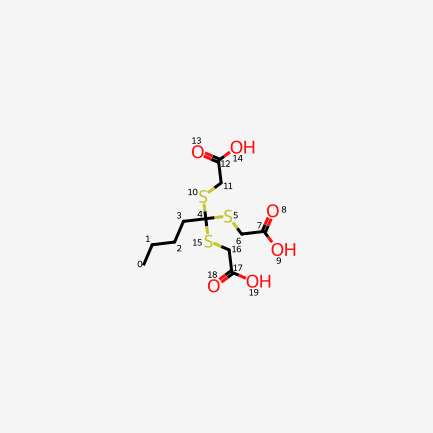 CCCCC(SCC(=O)O)(SCC(=O)O)SCC(=O)O